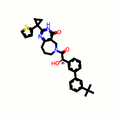 CC(C)(C)c1cccc(-c2cccc([C@@H](O)C(=O)N3CCCc4nc(C5(c6cccs6)CC5)[nH]c(=O)c4C3)c2)c1